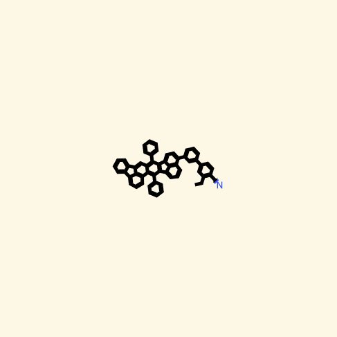 CCc1cc(-c2cccc(-c3ccc4c5c(-c6ccccc6)c6cc7c8ccccc8c8cccc(c6c(-c6ccccc6)c5c5cccc3c45)c87)c2)ccc1C#N